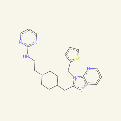 c1cnc(NCCN2CCC(Cc3nc4cccnc4n3Cc3cccs3)CC2)nc1